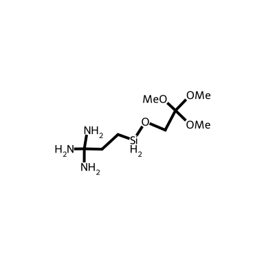 COC(CO[SiH2]CCC(N)(N)N)(OC)OC